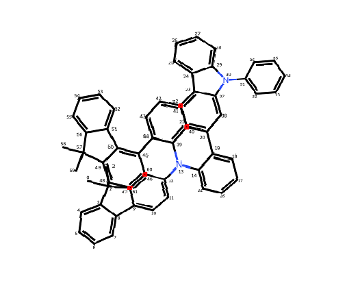 CC1(C)c2ccccc2-c2ccc(N(c3ccccc3-c3ccc4c5ccccc5n(-c5ccccc5)c4c3)c3ccccc3-c3cccc4c3-c3ccccc3C4(C)C)cc21